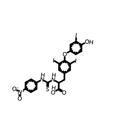 O=C(O)C(Cc1cc(I)c(Oc2ccc(O)c(I)c2)c(I)c1)NC(=S)Nc1ccc([N+](=O)[O-])cc1